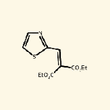 CCOC(=O)C(=Cc1nccs1)C(=O)OCC